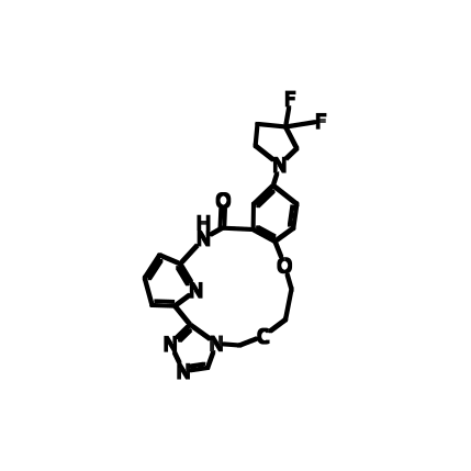 O=C1Nc2cccc(n2)-c2nncn2CCCCOc2ccc(N3CCC(F)(F)C3)cc21